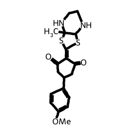 COc1ccc(C2CC(=O)C(=C3SC4NCCNC4(C)S3)C(=O)C2)cc1